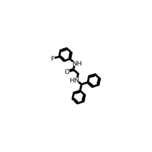 O=C(CNC(c1ccccc1)c1ccccc1)Nc1cccc(F)c1